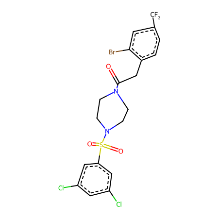 O=C(Cc1ccc(C(F)(F)F)cc1Br)N1CCN(S(=O)(=O)c2cc(Cl)cc(Cl)c2)CC1